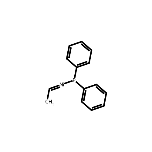 C[CH]=[Ni][P](c1ccccc1)c1ccccc1